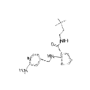 CC(C)(C)CCNC(=O)c1ccccc1NCc1ccnc(N)c1